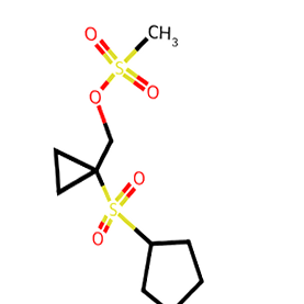 CS(=O)(=O)OCC1(S(=O)(=O)C2CCCC2)CC1